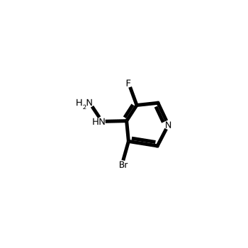 NNc1c(F)cncc1Br